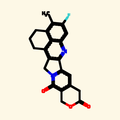 Cc1c(F)cc2nc3c(c4c2c1CCC4)Cn1c-3cc2c(c1=O)COC(=O)C2